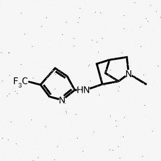 CN1CC2CC(Nc3ccc(C(F)(F)F)cn3)C1C2